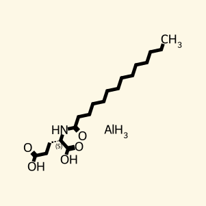 CCCCCCCCCCCCCC(=O)N[C@@H](CCC(=O)O)C(=O)O.[AlH3]